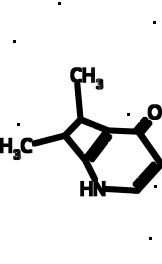 CC1c2[nH]ccc(=O)c2C1C